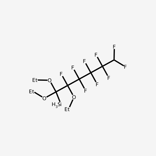 CCOC([SiH3])(OCC)C(F)(OCC)C(F)(F)C(F)(F)C(F)(F)C(F)F